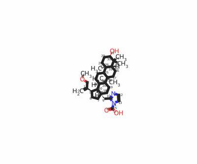 C=C(COC)[C@@H]1CC[C@]2(Cc3nccn3C(=O)O)CC[C@]3(C)[C@H](CCC4[C@@]5(C)CC[C@H](O)C(C)(C)[C@@H]5CC[C@]43C)[C@@H]12